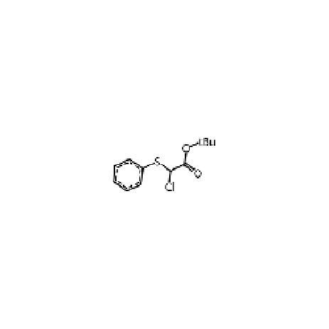 CC(C)(C)OC(=O)C(Cl)Sc1ccccc1